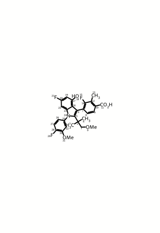 COCC(C)(C)c1c(-c2ccc(C(=O)O)c(C)c2F)c2c(O)cc(F)cc2n1-c1ccc(F)c(OC)c1